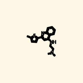 Cc1ccc(-c2cc(NCCN(C)C)c3ccccc3n2)s1